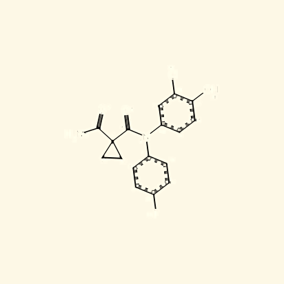 NC(=O)C1(C(=O)N(c2ccc(F)cc2)c2ccc(O)c(Cl)c2)CC1